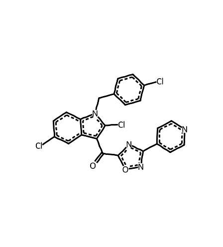 O=C(c1nc(-c2ccncc2)no1)c1c(Cl)n(Cc2ccc(Cl)cc2)c2ccc(Cl)cc12